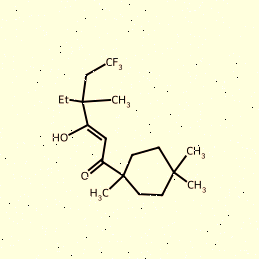 CCC(C)(CC(F)(F)F)/C(O)=C/C(=O)C1(C)CCC(C)(C)CC1